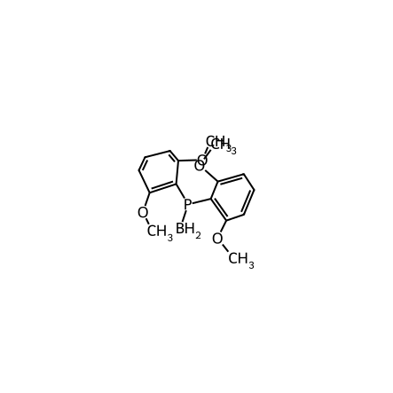 BP(c1c(OC)cccc1OC)c1c(OC)cccc1OC